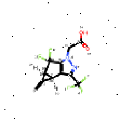 C=C1[C@@H]2c3c(C(F)(F)F)nn(CC(=O)O)c3C(F)(F)[C@H]12